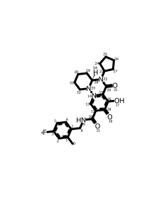 Cc1cc(F)ccc1CNC(=O)c1cn2c(c(O)c1=O)C(=O)N(C1CCCC1)[C@@H]1CCCCN12